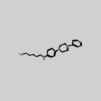 NCCCCCNc1ccc(N2CCN(c3ccccc3)CC2)cc1